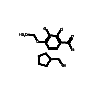 CCC(=O)c1ccc(OCC(=O)O)c(Cl)c1Cl.OCC1CCCC1